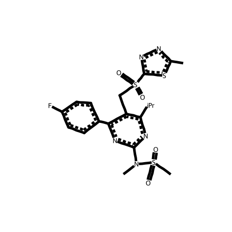 Cc1nnc(S(=O)(=O)Cc2c(-c3ccc(F)cc3)nc(N(C)S(C)(=O)=O)nc2C(C)C)s1